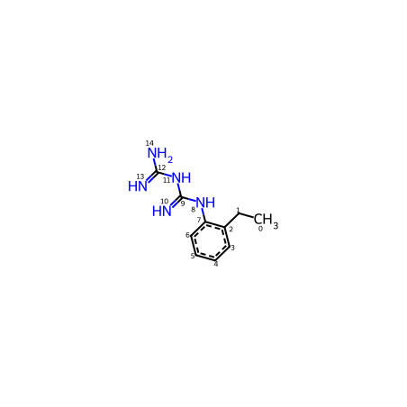 CCc1ccccc1NC(=N)NC(=N)N